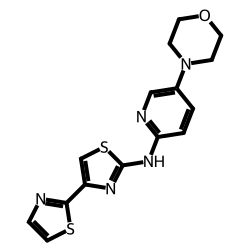 c1csc(-c2csc(Nc3ccc(N4CCOCC4)cn3)n2)n1